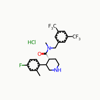 Cc1cc(F)ccc1C1CNCC[C@H]1C(=O)N(C)Cc1cc(C(F)(F)F)cc(C(F)(F)F)c1.Cl